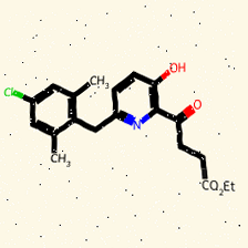 CCOC(=O)CCC(=O)c1nc(Cc2c(C)cc(Cl)cc2C)ccc1O